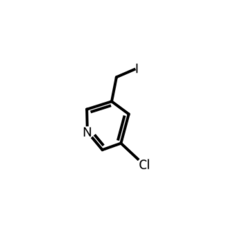 Clc1cncc(CI)c1